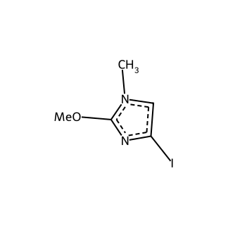 COc1nc(I)cn1C